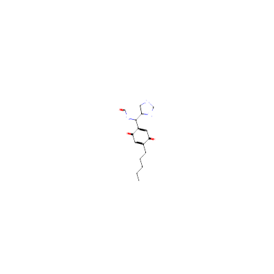 CCCCCC1=CC(=O)C(C(C2CNCN2)N(O)C=O)=CC1=O